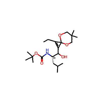 CCC1=C(C(O)[C@H](CC(C)C)NC(=O)OC(C)(C)C)C12OCC(C)(C)CO2